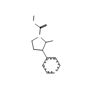 CC(C)(C)OC(=O)N1CCC(c2ccncc2)C1C(=O)O